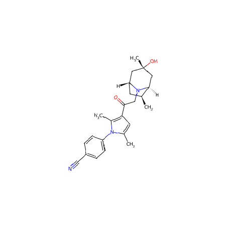 Cc1cc(C(=O)CN2[C@@H]3C[C@H](C)[C@@H]2C[C@@](C)(O)C3)c(C)n1-c1ccc(C#N)cc1